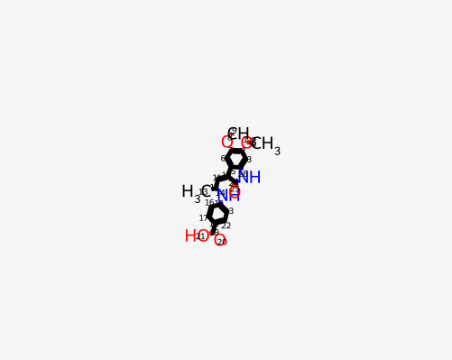 COc1cc2c(cc1OC)C(=CC(C)Nc1ccc(C(=O)O)cc1)C(=O)N2